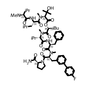 CC[C@H](C)[C@@H](OC(=O)[C@@H](N(C)C(=O)[C@H](CC(C)C)NC(=O)[C@@H](NC)C(C)C)C(C)(C)O)C(=O)N(C)[C@H](C(=O)N[C@@H](Cc1ccccc1)C(=O)N(C)[C@@H](Cc1cccc(-c2ccc(F)cc2)c1)C(=O)N1CCC[C@H]1C(N)=O)C(C)C